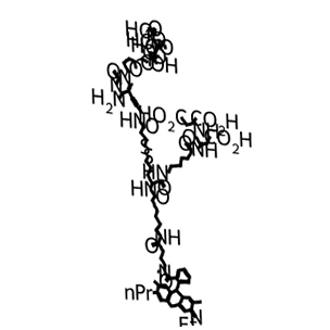 CCCc1cc2c(cc1C)C(c1ccccc1C(=O)N(C)CCCC(=O)NCCCCCC(=O)NC(CCCSSCCC(=O)NCC#Cc1cn([C@H]3CC[C@@H](COP(=O)(O)OP(=O)(O)OP(=O)(O)O)O3)c(=O)nc1N)C(=O)NCCCCCC(=O)NC(CC(=O)O)C(=O)NC(CC(=O)O)C(=O)O)C1C=C(C)/C(=N/CC)C=C1C2